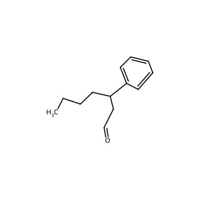 CCCCC(CC=O)c1ccccc1